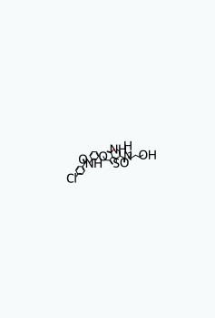 C=C(N)c1c(COc2cccc(NC(=O)c3ccc(Cl)cc3)c2)csc1/C(=C\C)C(=O)NCCCO